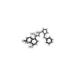 O=c1ccc2c([C@@H](O)CNC3CCCC3Cc3ccccc3)ccc(O)c2[nH]1